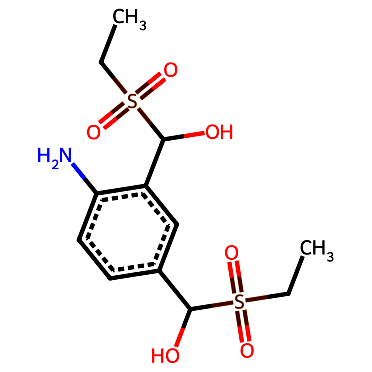 CCS(=O)(=O)C(O)c1ccc(N)c(C(O)S(=O)(=O)CC)c1